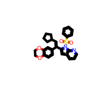 O=S(=O)(c1ccccc1)n1c(/C(=C/C2CCCC2)c2ccc3c(c2)OCCO3)cc2cccnc21